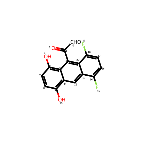 O=CC(=O)c1c2c(O)ccc(O)c2cc2c(F)ccc(F)c12